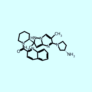 CC1=CN2NC(C)([C@@H]3CCCCN3C(=O)c3ccc4ccccc4n3)C=C2N=C1N1CC[C@H](N)C1